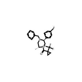 C[C@@H]1CN(Cc2ccccc2)[C@@H](c2ccc(F)cc2)CN1C(=O)C1(C(F)(F)F)CC1